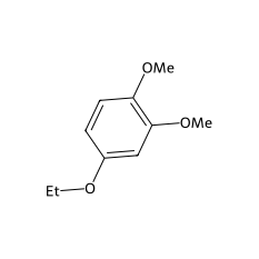 CCOc1ccc(OC)c(OC)c1